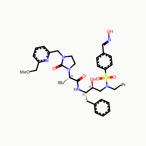 COCc1cccc(CN2CCN([C@H](C(=O)N[C@@H](Cc3ccccc3)[C@@H](O)CN(CC(C)C)S(=O)(=O)c3ccc(C=NO)cc3)C(C)(C)C)C2=O)n1